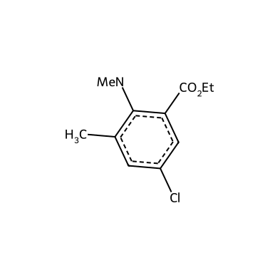 CCOC(=O)c1cc(Cl)cc(C)c1NC